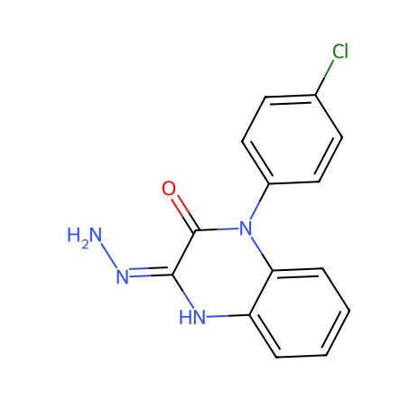 NN=c1[nH]c2ccccc2n(-c2ccc(Cl)cc2)c1=O